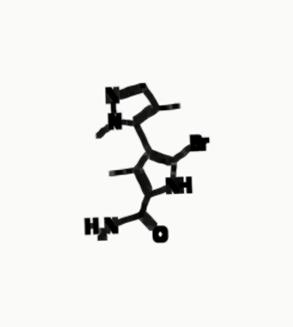 Cc1cnn(C)c1-c1c(Br)[nH]c(C(N)=O)c1C